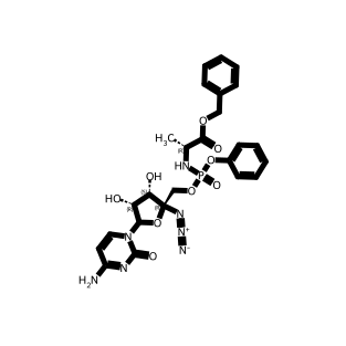 C[C@@H](NP(=O)(OC[C@@]1(N=[N+]=[N-])OC(n2ccc(N)nc2=O)[C@H](O)[C@@H]1O)Oc1ccccc1)C(=O)OCc1ccccc1